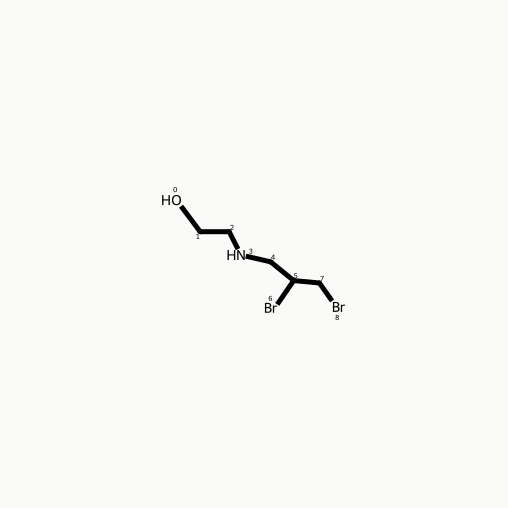 OCCNCC(Br)CBr